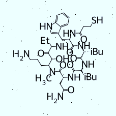 CCC(N)C(=O)C(O)[C@H](CCCN)N(C)C(=O)[C@H](CC(N)=O)NC(=O)[C@@H](NC(=O)[C@@H](NC(=O)[C@@H](Cc1c[nH]c2ccccc12)NC(=O)CCS)[C@@H](C)CC)[C@H](C)CC